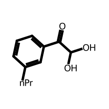 CCCc1cccc(C(=O)C(O)O)c1